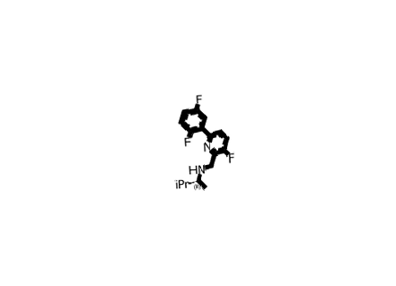 CC(C)[C@@H](C)NCc1nc(-c2cc(F)ccc2F)ccc1F